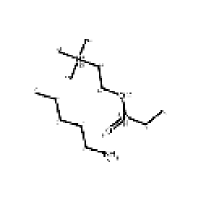 CCCCCN.CC[PH](=O)OCC[N+](C)(C)C